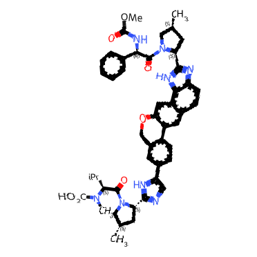 COC(=O)N[C@@H](C(=O)N1C[C@@H](C)C[C@H]1c1nc2ccc3cc4c(cc3c2[nH]1)OCc1cc(-c2cnc([C@@H]3C[C@H](C)CN3C(=O)[C@H](C(C)C)N(C)C(=O)O)[nH]2)ccc1-4)c1ccccc1